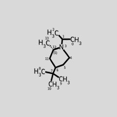 CC(C)N1CCC(C(C)(C)C)C[C@@H]1C